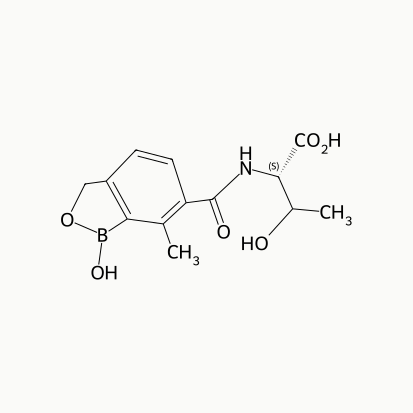 Cc1c(C(=O)N[C@H](C(=O)O)C(C)O)ccc2c1B(O)OC2